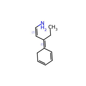 CCC(/C=C\N)=C1\C=CC=CC1